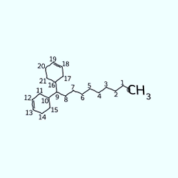 CCCCCCCCCC(C1CC=CCC1)C1CC=CCC1